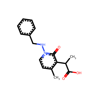 Cc1ccn(NCc2ccccc2)c(=O)c1C(C)C(=O)O